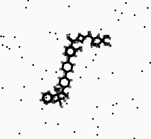 CC(C)(C)OC(=O)NC1CN(C(=O)c2ccc(N3CCC(C4CCN(C(=O)[C@](O)(c5ccccc5)C(F)(F)F)CC4)CC3)cc2Cl)C1